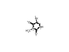 CC(=O)c1c[nH]c(=O)n(C)c1=O